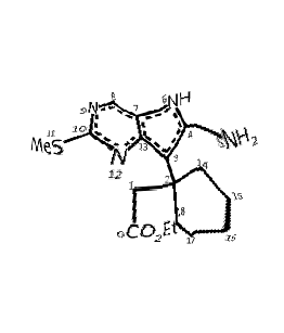 CCOC(=O)CC1(c2c(N)[nH]c3cnc(SC)nc23)CCCCC1